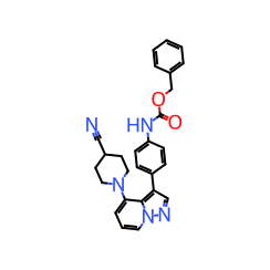 N#CC1CCN(c2cccn3ncc(-c4ccc(NC(=O)OCc5ccccc5)cc4)c23)CC1